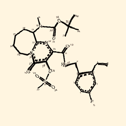 C=Cc1cc(F)ccc1CNC(=O)c1nc2n(c(=O)c1OS(C)(=O)=O)CCCCC2N(C)C(=O)OC(C)(C)C